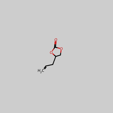 C=CC[C]1COC(=O)O1